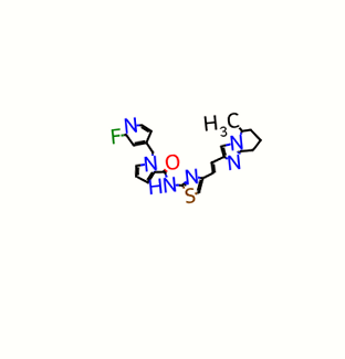 CC1CCCc2nc(/C=C/c3csc(NC(=O)c4cccn4Cc4ccnc(F)c4)n3)cn21